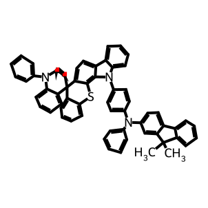 CC1(C)c2ccccc2-c2ccc(N(c3ccccc3)c3ccc(-n4c5ccccc5c5ccc6c(c54)Sc4ccccc4C64c5ccccc5N(c5ccccc5)c5ccccc54)cc3)cc21